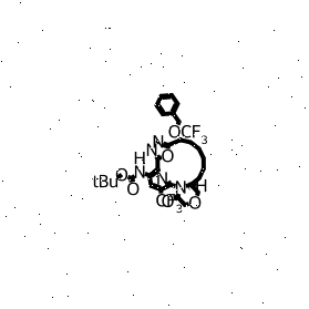 CC(C)(C)OC(=O)Nc1cc(C(F)(F)F)c2nc1-c1nnc(o1)C(OCc1ccccc1)(C(F)(F)F)CCCCC[C@@H]1COCC(=O)N21